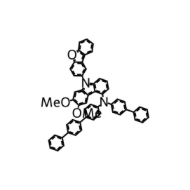 COc1cc2c3c(N(c4ccc(-c5ccccc5)cc4)c4ccc(-c5ccc(-c6ccccc6)cc5)cc4)cccc3n(-c3ccc4oc5ccccc5c4c3)c2cc1OC